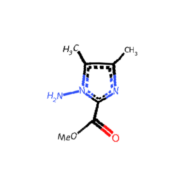 COC(=O)c1nc(C)c(C)n1N